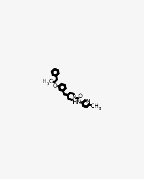 Cc1ccc(NC(=O)N2CCC(=Cc3cccc(OC(C)Cc4ccccc4)c3)CC2)cn1